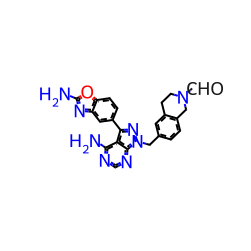 Nc1nc2cc(-c3nn(Cc4ccc5c(c4)CCN(C=O)C5)c4ncnc(N)c34)ccc2o1